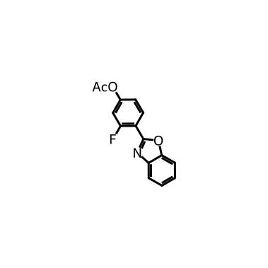 CC(=O)Oc1ccc(-c2nc3ccccc3o2)c(F)c1